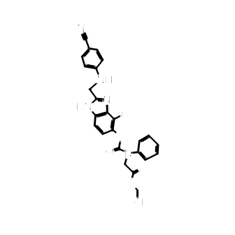 CCOC(=O)CN(C(=O)Oc1ccc2[nH]c(CNc3ccc(C#N)cc3)nc2c1C)c1ccccc1